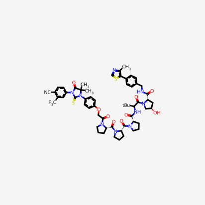 Cc1ncsc1-c1ccc(CNC(=O)[C@@H]2C[C@@H](O)CN2C(=O)C(NC(=O)[C@@H]2CCCN2C(=O)[C@@H]2CCCN2C(=O)[C@@H]2CCCN2C(=O)COc2ccc(N3C(=S)N(c4ccc(C#N)c(C(F)(F)F)c4)C(=O)C3(C)C)cc2)C(C)(C)C)cc1